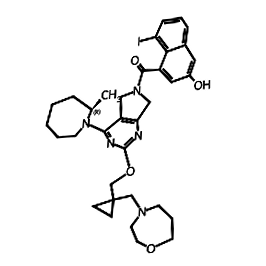 C[C@@H]1CCCCCN1c1nc(OCC2(CN3CCCOCC3)CC2)nc2c1CN(C(=O)c1cc(O)cc3cccc(I)c13)C2